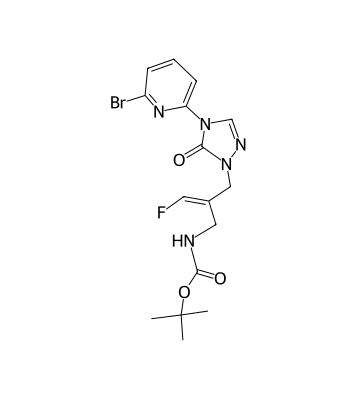 CC(C)(C)OC(=O)NCC(=CF)Cn1ncn(-c2cccc(Br)n2)c1=O